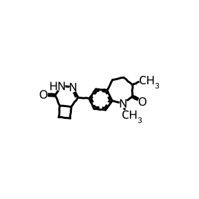 CC1CCc2cc(C3=NNC(=O)C4CCC34)ccc2N(C)C1=O